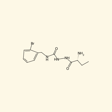 CC[C@@H](N)C(=O)NNC(=O)NCc1ccccc1Br